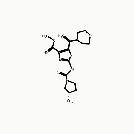 C=C(c1sc(NC(=O)N2CC[C@H](C)C2)nc1C(=N)OC)C1CCOCC1